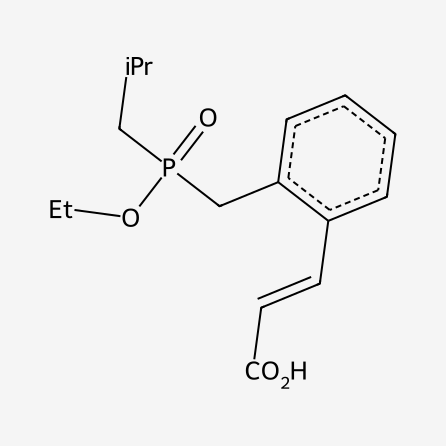 CCOP(=O)(Cc1ccccc1/C=C/C(=O)O)CC(C)C